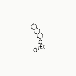 CCC1(COc2ccc3cc4ccccc4cc3c2)COC1